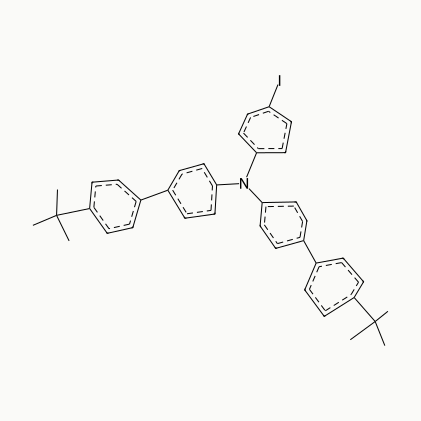 CC(C)(C)c1ccc(-c2ccc(N(c3ccc(I)cc3)c3ccc(-c4ccc(C(C)(C)C)cc4)cc3)cc2)cc1